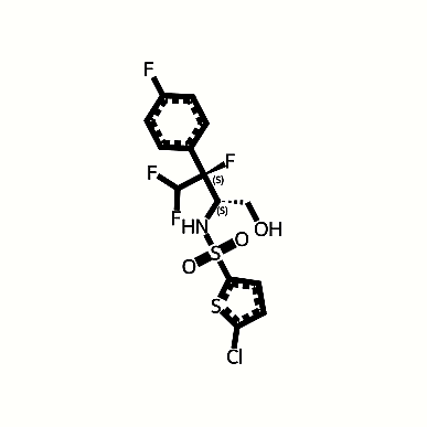 O=S(=O)(N[C@@H](CO)[C@@](F)(c1ccc(F)cc1)C(F)F)c1ccc(Cl)s1